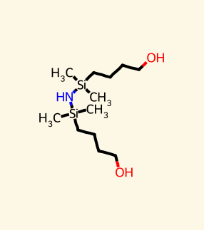 C[Si](C)(CCCCO)N[Si](C)(C)CCCCO